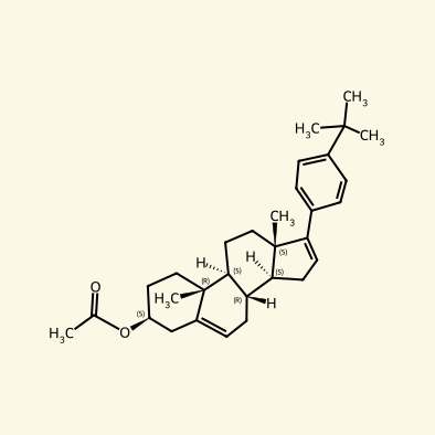 CC(=O)O[C@H]1CC[C@@]2(C)C(=CC[C@@H]3[C@@H]2CC[C@]2(C)C(c4ccc(C(C)(C)C)cc4)=CC[C@@H]32)C1